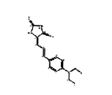 CCN(CC)c1ccc(C=CC=C2SC(=S)NC2=O)cc1